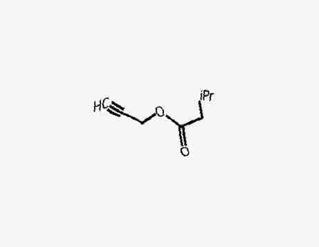 C#CCOC(=O)CC(C)C